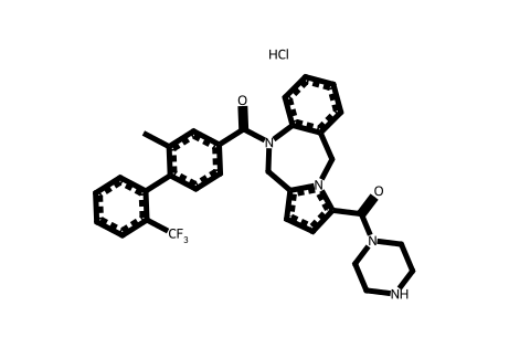 Cc1cc(C(=O)N2Cc3ccc(C(=O)N4CCNCC4)n3Cc3ccccc32)ccc1-c1ccccc1C(F)(F)F.Cl